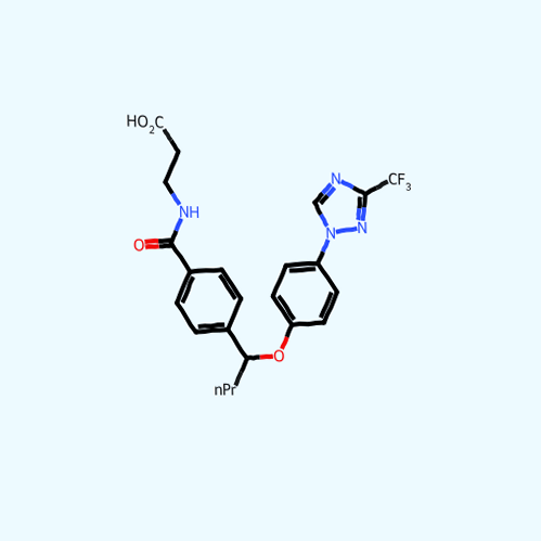 CCCC(Oc1ccc(-n2cnc(C(F)(F)F)n2)cc1)c1ccc(C(=O)NCCC(=O)O)cc1